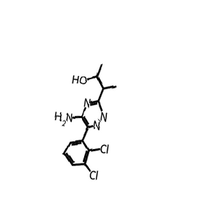 CC(O)C(C)c1nnc(-c2cccc(Cl)c2Cl)c(N)n1